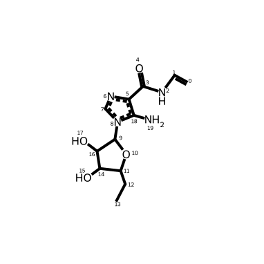 C=CNC(=O)c1ncn(C2OC(CC)C(O)C2O)c1N